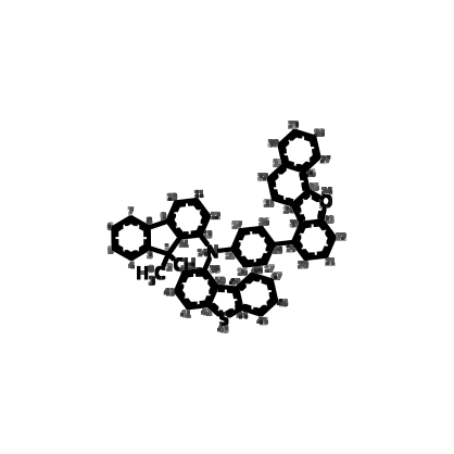 CC1(C)c2ccccc2-c2cccc(N(c3ccc(-c4cccc5oc6c7ccccc7ccc6c45)cc3)c3cccc4sc5ccccc5c34)c21